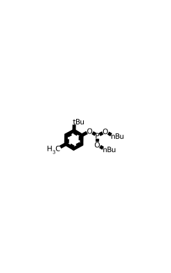 CCCCOP(OCCCC)Oc1ccc(C)cc1C(C)(C)C